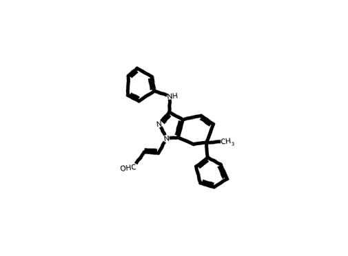 CC1(c2ccccc2)C=Cc2c(Nc3ccccc3)nn(C=CC=O)c2C1